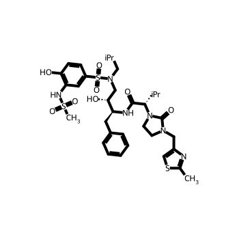 Cc1nc(CN2CCN([C@H](C(=O)N[C@@H](Cc3ccccc3)[C@H](O)CN(CC(C)C)S(=O)(=O)c3ccc(O)c(NS(C)(=O)=O)c3)C(C)C)C2=O)cs1